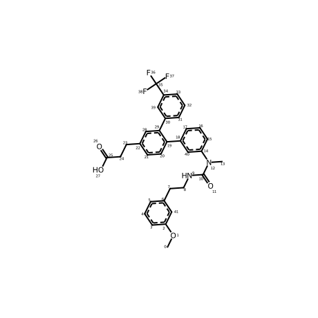 COc1cccc(CCNC(=O)N(C)c2cccc(-c3ccc(CCC(=O)O)cc3-c3cccc(C(F)(F)F)c3)c2)c1